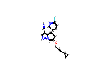 N#Cc1cnn2cc(OCC#CC3CC3)cc(-c3ccc(F)nc3)c12